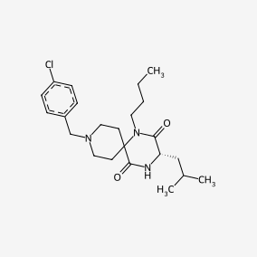 CCCCN1C(=O)[C@H](CC(C)C)NC(=O)C12CCN(Cc1ccc(Cl)cc1)CC2